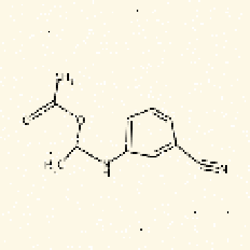 CC(=O)OC(C)Nc1cccc(C#N)c1